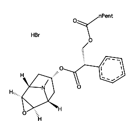 Br.CCCCCC(=O)OC[C@@H](C(=O)O[C@@H]1C[C@@H]2[C@H]3O[C@H]3[C@H](C1)N2C)c1ccccc1